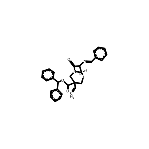 C=CC1(C(=O)OC(c2ccccc2)c2ccccc2)CS[C@@H]2C(N=Cc3ccccc3)C(=O)N2C1